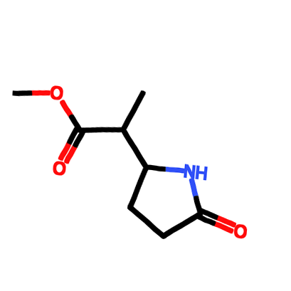 COC(=O)C(C)C1CCC(=O)N1